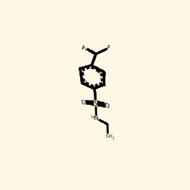 CCNS(=O)(=O)c1ccc(C(F)F)cc1